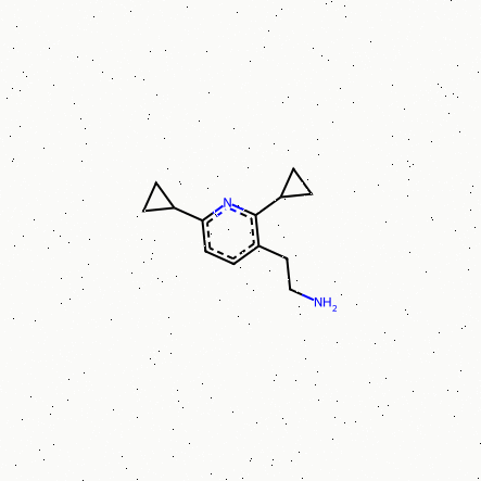 NCCc1ccc(C2CC2)nc1C1CC1